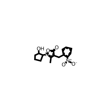 Cc1c(Cc2ccccc2[N+](=O)[O-])c(=O)on1C1CCCC1O